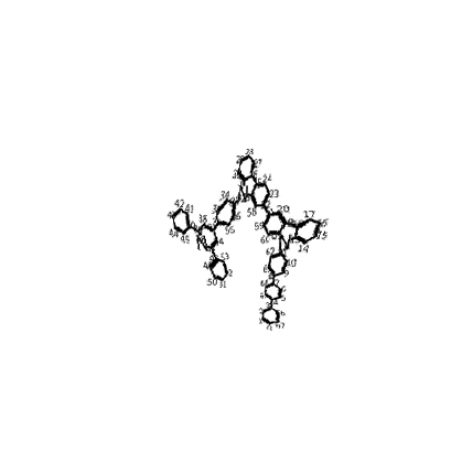 c1ccc(-c2ccc(-c3ccc(-n4c5ccccc5c5cc(-c6ccc7c8ccccc8n(-c8ccc(-c9cc(-c%10ccccc%10)nc(-c%10ccccc%10)c9)cc8)c7c6)ccc54)cc3)cc2)cc1